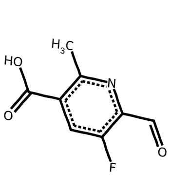 Cc1nc(C=O)c(F)cc1C(=O)O